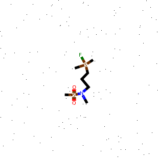 CN(CCCS(C)(C)F)S(C)(=O)=O